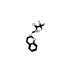 O=C(NC[C@H]1CCc2ccccc2O1)C(F)(F)F